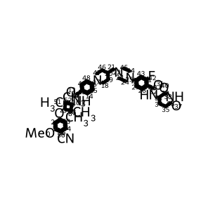 COc1cc(OC2C(C)(C)C(NC(=O)c3ccc(N4CCC(CN5CCN(c6ccc(C(=O)N[C@@H]7CCC(=O)NC7=O)c(F)c6)CC5)CC4)cc3)C2(C)C)ccc1C#N